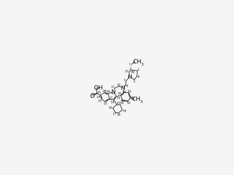 CC[C@@H]1CCCN(CCN2CCn3c(c(C4CCCCC4)c4ccc(C(=O)O)cc43)-c3ccc(C)cc32)C1